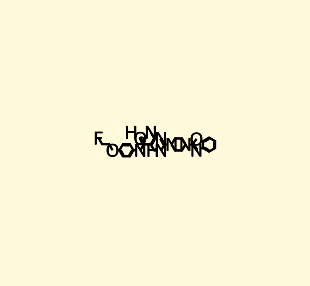 Nc1nc(N2CCN(c3nc4ccccc4o3)CC2)ncc1C(=O)Nc1ccc(OCCF)cc1